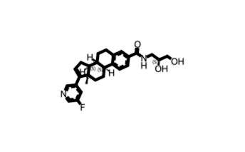 C[C@]12CC[C@@H]3c4ccc(C(=O)NC[C@H](O)CO)cc4CC[C@H]3[C@@H]1CC=C2c1cncc(F)c1